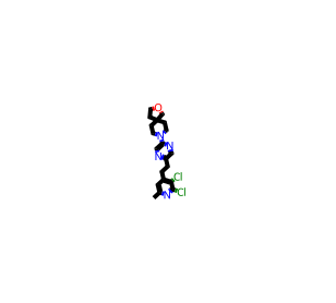 Cc1cc(CCc2cnc(N3CCC4(CCOC4)CC3)cn2)c(Cl)c(Cl)n1